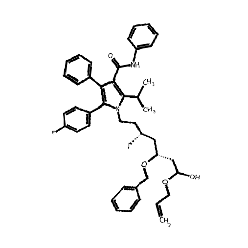 C=CCOC(O)C[C@@H](C[C@H](I)CCn1c(-c2ccc(F)cc2)c(-c2ccccc2)c(C(=O)Nc2ccccc2)c1C(C)C)OCc1ccccc1